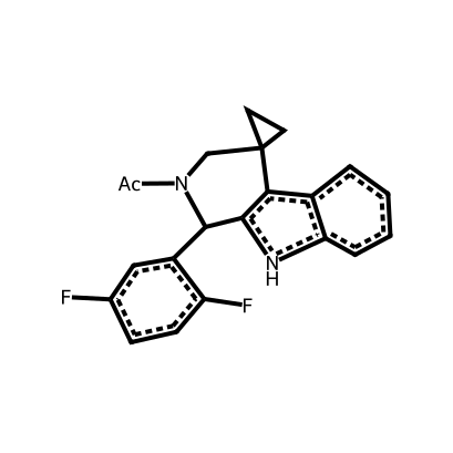 CC(=O)N1CC2(CC2)c2c([nH]c3ccccc23)C1c1cc(F)ccc1F